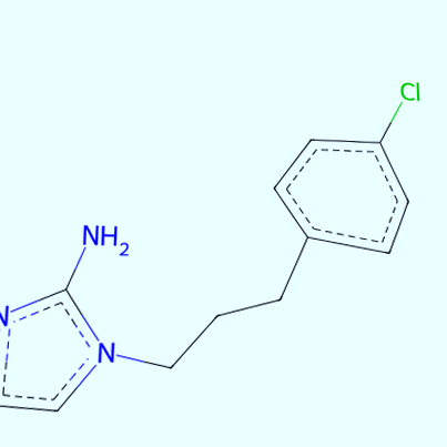 Nc1nccn1CCCc1ccc(Cl)cc1